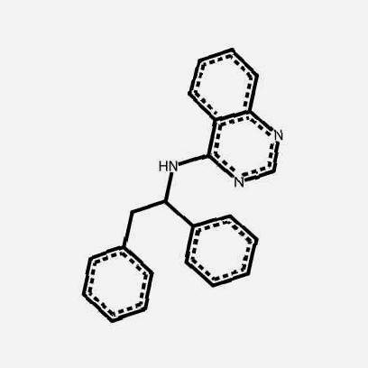 c1ccc(CC(Nc2ncnc3ccccc23)c2ccccc2)cc1